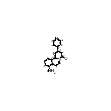 Nc1cccc2c1ccn1c(=O)cc(-c3ccncc3)nc21